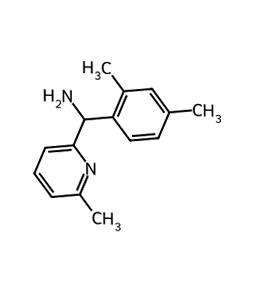 Cc1ccc(C(N)c2cccc(C)n2)c(C)c1